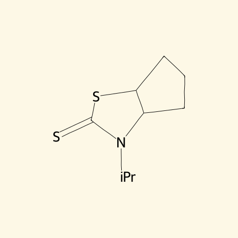 CC(C)N1C(=S)SC2CCCC21